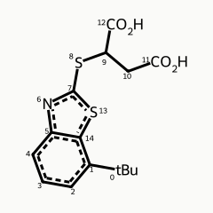 CC(C)(C)c1cccc2nc(SC(CC(=O)O)C(=O)O)sc12